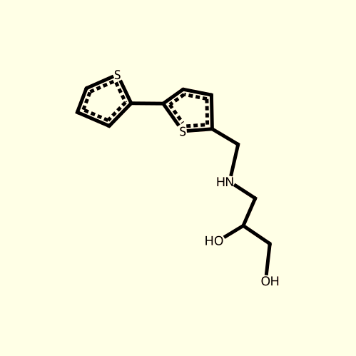 OCC(O)CNCc1ccc(-c2cccs2)s1